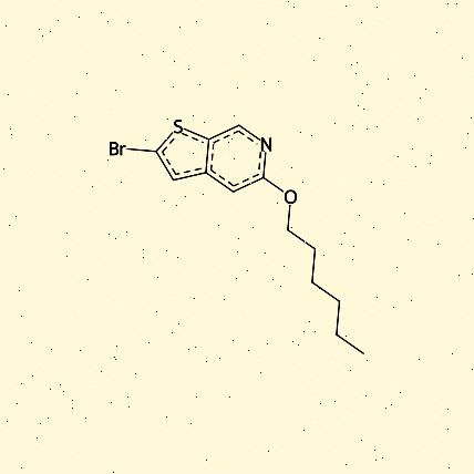 CCCCCCOc1cc2cc(Br)sc2cn1